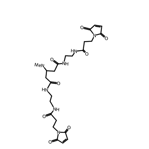 CNC(CC(=O)NCCNC(=O)CCN1C(=O)C=CC1=O)CC(=O)NCCNC(=O)CCN1C(=O)C=CC1=O